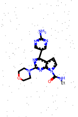 CCNC(=O)n1ccc2c(-c3cnc(N)nc3)nc(N3CCOCC3)nc21